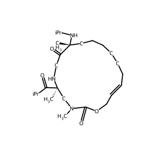 CC(C)N[C@]1(C)CCCCCC/C=C/COC(=O)N(C)C[C@@](C)(C(=O)C(C)C)NCC1=O